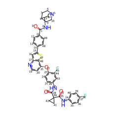 O=C(NC1CN2CCC1CC2)c1ccc(-c2cc3nccc(Oc4ccc(NC(=O)C5(C(=O)Nc6ccc(F)cc6)CC5)cc4F)c3s2)cc1